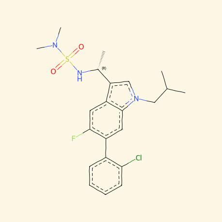 CC(C)Cn1cc([C@@H](C)NS(=O)(=O)N(C)C)c2cc(F)c(-c3ccccc3Cl)cc21